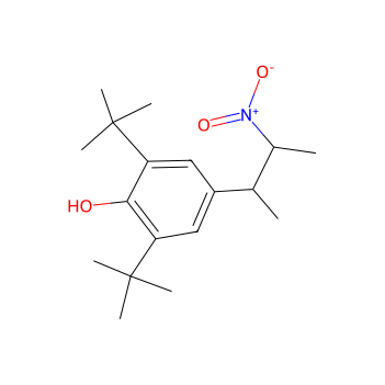 CC(c1cc(C(C)(C)C)c(O)c(C(C)(C)C)c1)C(C)[N+](=O)[O-]